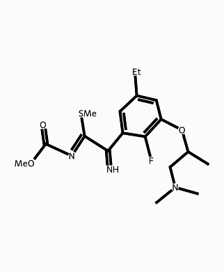 CCc1cc(OC(C)CN(C)C)c(F)c(C(=N)/C(=N/C(=O)OC)SC)c1